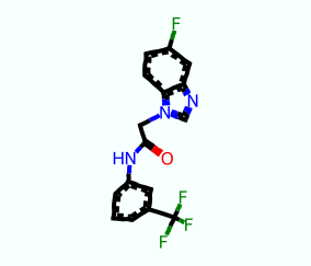 O=C(Cn1cnc2cc(F)ccc21)Nc1cccc(C(F)(F)F)c1